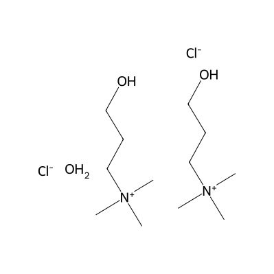 C[N+](C)(C)CCCO.C[N+](C)(C)CCCO.O.[Cl-].[Cl-]